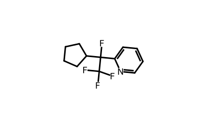 FC(F)(F)C(F)(c1ccccn1)C1CCCC1